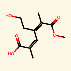 COC(=O)C(C)=C(C=C(C)C(=O)O)CCO